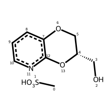 CS(=O)(=O)O.OC[C@H]1COc2cccnc2O1